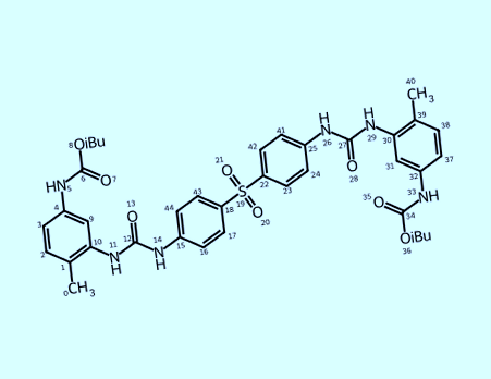 Cc1ccc(NC(=O)OCC(C)C)cc1NC(=O)Nc1ccc(S(=O)(=O)c2ccc(NC(=O)Nc3cc(NC(=O)OCC(C)C)ccc3C)cc2)cc1